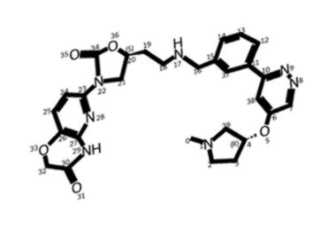 CN1CC[C@@H](Oc2cnnc(-c3cccc(CNCC[C@H]4CN(c5ccc6c(n5)NC(=O)CO6)C(=O)O4)c3)c2)C1